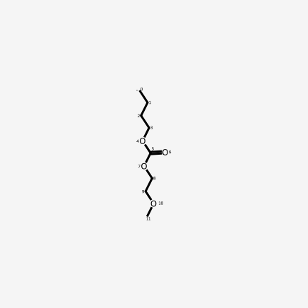 [CH2]CCCOC(=O)OCCOC